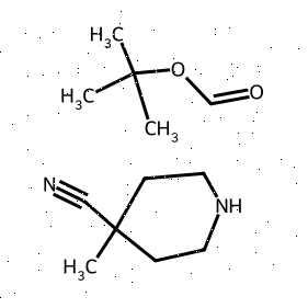 CC(C)(C)OC=O.CC1(C#N)CCNCC1